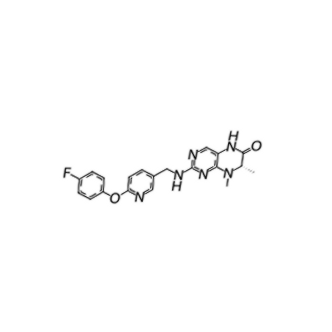 C[C@H]1C(=O)Nc2cnc(NCc3ccc(Oc4ccc(F)cc4)nc3)nc2N1C